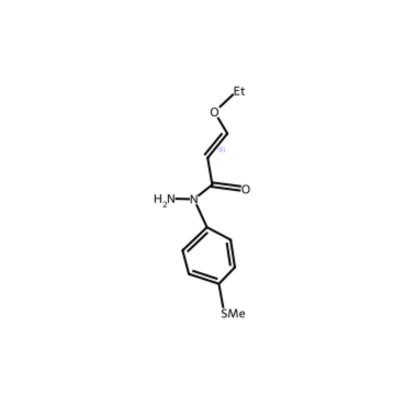 CCO/C=C/C(=O)N(N)c1ccc(SC)cc1